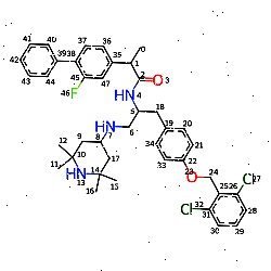 CC(C(=O)NC(CNC1CC(C)(C)NC(C)(C)C1)Cc1ccc(OCc2c(Cl)cccc2Cl)cc1)c1ccc(-c2ccccc2)c(F)c1